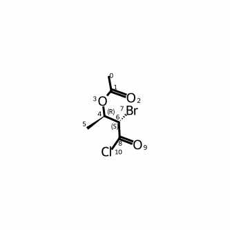 CC(=O)O[C@H](C)[C@H](Br)C(=O)Cl